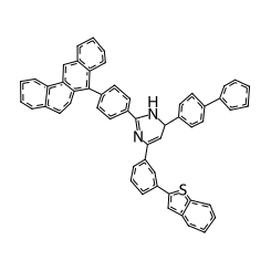 C1=C(c2cccc(-c3cc4ccccc4s3)c2)N=C(c2ccc(-c3c4ccccc4cc4c3ccc3ccccc34)cc2)NC1c1ccc(-c2ccccc2)cc1